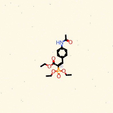 CCOC(=O)/C(=C\c1ccc(NC(C)=O)cc1)P(=O)(OCC)OCC